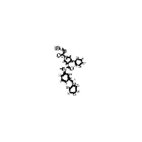 CC(C)(C)OC(=O)N1C[C@@H](C(=O)Nc2cccc(Cc3ccccc3)c2)[C@H](c2ccccc2)C1